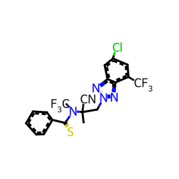 CC(C#N)(Cn1nc2cc(Cl)cc(C(F)(F)F)c2n1)N(C(=S)c1ccccc1)C(F)(F)F